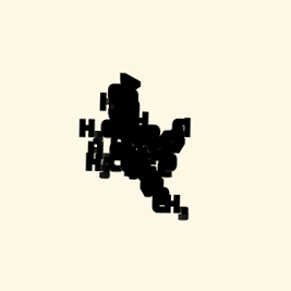 C=C[C@@H]1C[C@]1(NC(=O)[C@@H]1C[C@@H](Oc2ncc(OC)c3ccc(Cl)cc23)CN1C(=O)[C@@H](Nc1nc(-c2ccc(OC)cc2)cs1)C(C)(C)C)C(=O)NS(=O)(=O)C1CC1